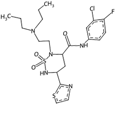 CCCN(CCC)CCN1C(C(=O)Nc2ccc(F)c(Cl)c2)CC(c2nccs2)NS1(=O)=O